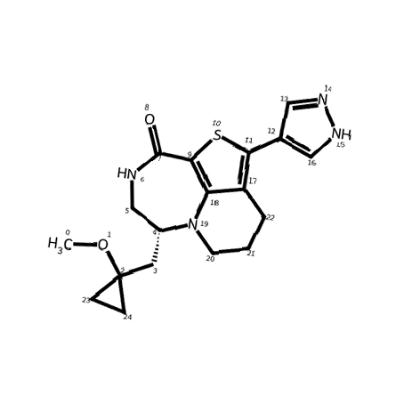 COC1(C[C@@H]2CNC(=O)c3sc(-c4cn[nH]c4)c4c3N2CCC4)CC1